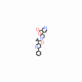 O=C1OC2(CCN(C(=O)C3(c4ccc(-c5ccccc5)nc4)CC3)C2)c2ccncc21